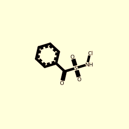 O=C(c1ccccc1)S(=O)(=O)NCl